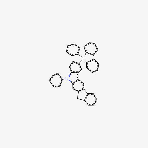 c1ccc(-n2c3ccc([Si](c4ccccc4)(c4ccccc4)c4ccccc4)cc3c3cc4c(cc32)Cc2ccccc2-4)cc1